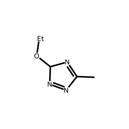 CCOC1N=NC(C)=N1